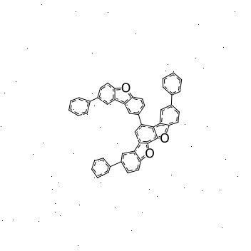 c1ccc(-c2ccc3oc4ccc(-c5cc6c7cc(-c8ccccc8)ccc7oc6c6oc7ccc(-c8ccccc8)cc7c56)cc4c3c2)cc1